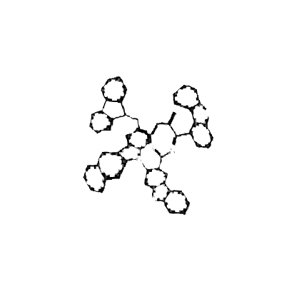 C=C1C=C(CCC2c3ccccc3-c3ccccc32)N=C(c2cc3c(cc2-n2c4ccccc4c4cc5ccccc5cc42)oc2ccccc23)N=C1c1cccc2oc3ccccc3c12